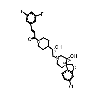 O=C(C=Cc1cc(F)cc(F)c1)N1CCC([C@H](O)CN2CC[C@]3(COc4cc(Cl)ccc43)[C@H](O)C2)CC1